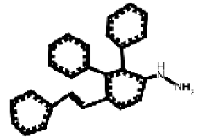 NNc1ccc(C=Cc2ccccc2)c(-c2ccccc2)c1-c1ccccc1